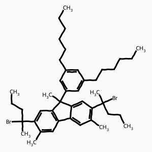 CCCCCCc1cc(CCCCCC)cc(C2(C)c3cc(C(C)(Br)CCC)c(C)cc3-c3cc(C)c(C(C)(Br)CCC)cc32)c1